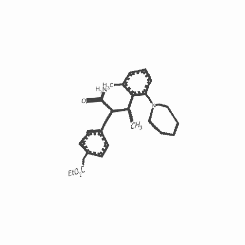 CCOC(=O)c1ccc(C(C(N)=O)C(C)c2c(C)cccc2N2CCCCC2)cc1